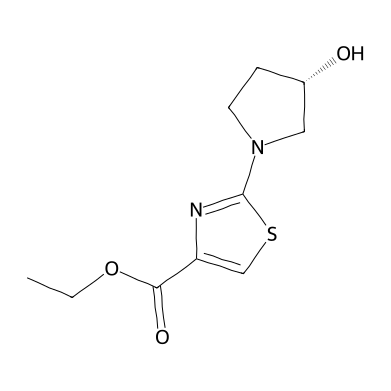 CCOC(=O)c1csc(N2CC[C@H](O)C2)n1